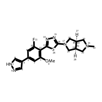 COc1cc(-c2cn[nH]c2)cc(F)c1-c1nnc(N2C[C@H]3CN(C)C[C@H]3C2)s1